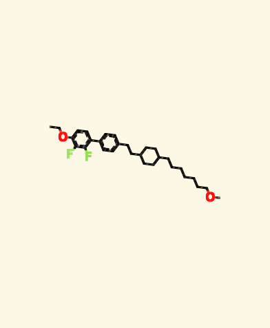 CCOc1ccc(-c2ccc(CCC3CCC(CCCCCCCOC)CC3)cc2)c(F)c1F